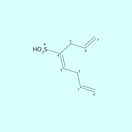 C=CCC=C(CC=C)S(=O)(=O)O